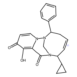 O=C1c2c(O)c(=O)ccn2N2CN1C(C1CC1)/C=C\CC2c1ccccc1